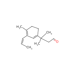 C/C=C\C1=C(C)CCC(C(C)(C)CC=O)=C1